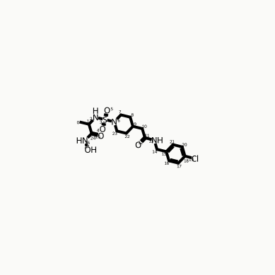 CC(NS(=O)(=O)N1CCC(CC(=O)NCc2ccc(Cl)cc2)CC1)C(=O)NO